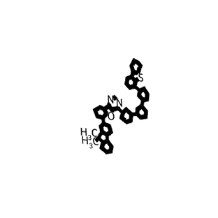 CC1(C)c2ccccc2-c2ccc(-c3cccc4c3oc3c(-c5cccc(-c6cccc(-c7cccc(-c8cccc9c8sc8ccccc89)c7)c6)c5)ncnc34)cc21